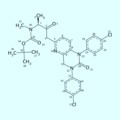 C[C@@H](C(=O)Cc1ccc2c(n1)CN(c1ccc(Cl)cc1)C(=O)N2c1ccc(Cl)cc1)N(C)C(=O)OC(C)(C)C